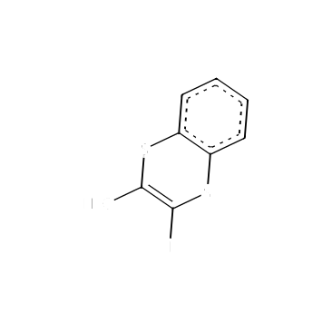 CC1=C(I)Sc2ccccc2S1